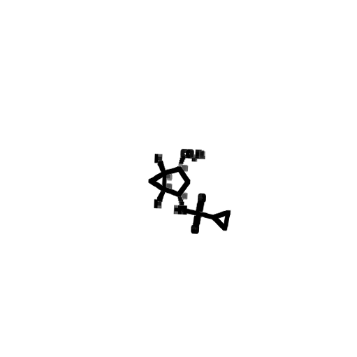 CCOC(=O)[C@@H]1C[C@H](NS(=O)(=O)C2CC2)[C@@H]2C[C@@H]21